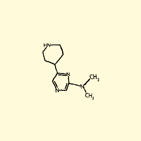 CN(C)c1cncc(C2CCNCC2)n1